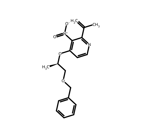 C=C(C)c1nccc(O[C@H](C)COCc2ccccc2)c1[N+](=O)[O-]